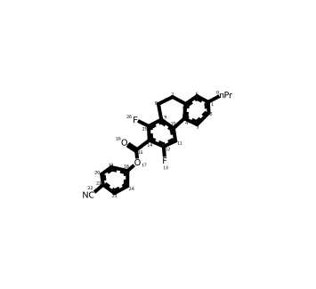 CCCc1ccc2c(c1)CCc1c-2cc(F)c(C(=O)Oc2ccc(C#N)cc2)c1F